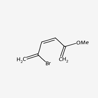 C=C(Br)/C=C\C(=C)OC